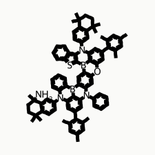 Cc1cc(C)c(-c2cc3c4c(c2)N(c2ccc5c(c2)C(C)(C)CCC5(C)C)c2c(sc5ccccc25)B4c2cc4c(cc2O3)N(c2ccccc2)c2cc(-c3c(C)cc(C)cc3C)cc3c2B4c2ccccc2N3c2ccc3c(c2)C(C)(N)CCC3(C)C)c(C)c1